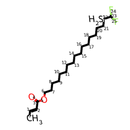 CC=CC(=O)OCCCCCCCCCCCCCCCC[SiH2]C(F)F